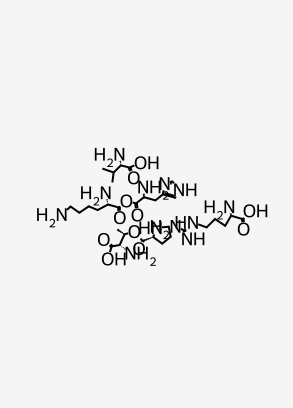 CC(C)[C@H](N)C(=O)O.C[C@@H](OC(=O)[C@@H]1CCCN1)[C@H](N)C(=O)O.N=C(N)NCCC[C@H](N)C(=O)O.NCCCC[C@H](N)C(=O)OC(=O)[C@@H](N)Cc1c[nH]cn1